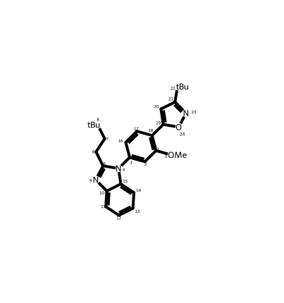 COc1cc(-n2c(CCC(C)(C)C)nc3ccccc32)ccc1-c1cc(C(C)(C)C)no1